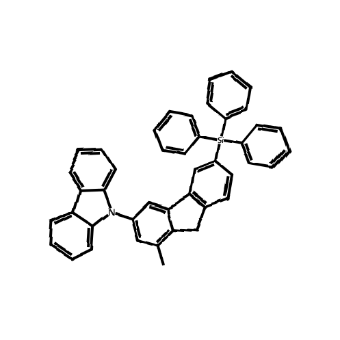 Cc1cc(-n2c3ccccc3c3ccccc32)cc2c1Cc1ccc([Si](c3ccccc3)(c3ccccc3)c3ccccc3)cc1-2